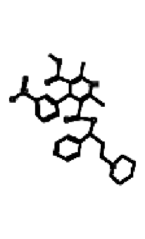 COC(=O)C1=C(C)NC(C)=C(C(=O)OC(CCN2CCCCC2)c2ccccc2)C1c1cccc([N+](=O)[O-])c1